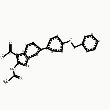 NC(=O)Nc1[nH]c2cc(-c3ccc(OCc4ccccc4)cc3)ccc2c1C(N)=O